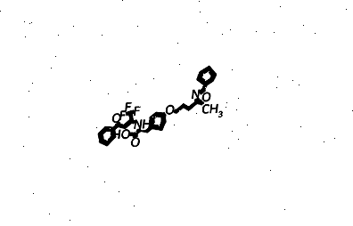 Cc1oc(-c2ccccc2)nc1CCCOc1ccc(C[C@H](NC(=CC(=O)c2ccccc2)C(F)(F)F)C(=O)O)cc1